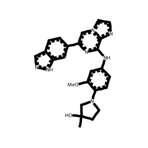 COc1cc(Nc2nc(-c3ccc4cn[nH]c4c3)cn3ccnc23)ccc1N1CCC(C)(O)C1